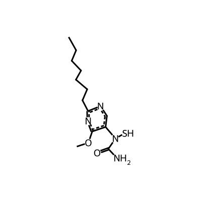 CCCCCCCc1ncc(N(S)C(N)=O)c(OC)n1